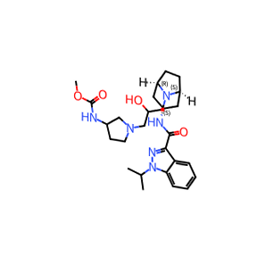 COC(=O)NC1CCN(CC(O)CN2[C@@H]3CC[C@H]2C[C@H](NC(=O)c2nn(C(C)C)c4ccccc24)C3)C1